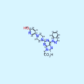 O=C(O)Cn1cnc2c(-n3ncc4ccccc43)nc(N3CCN(c4ccc(O)nc4)CC3)nc21